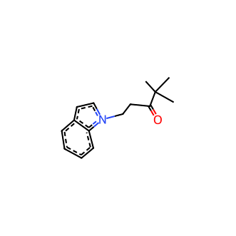 CC(C)(C)C(=O)CCn1ccc2ccccc21